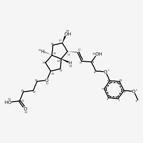 COc1cccc(OCC(O)C=C[C@@H]2[C@@H]3CC(OCCCC(=O)O)C[C@H]3C[C@H]2O)c1